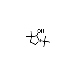 CC1(C)CCN(C(C)(C)C)C1O